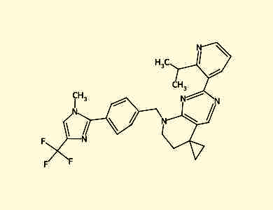 CC(C)c1ncccc1-c1ncc2c(n1)N(Cc1ccc(-c3nc(C(F)(F)F)cn3C)cc1)CCC21CC1